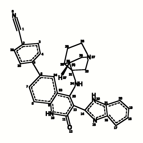 N#Cc1ccc(-c2ccc3[nH]c(=O)c(-c4nc5ccccc5[nH]4)c(N[C@H]4CN5CCC4CC5)c3c2)cc1